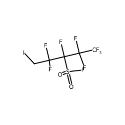 O=S(=O)(F)C(F)(C(F)(F)CI)C(F)(F)C(F)(F)F